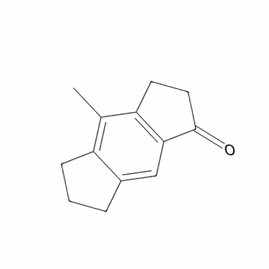 Cc1c2c(cc3c1CCC3=O)CCC2